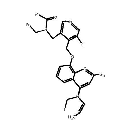 C/C=C\N(CI)c1cc(C)nc2c(OCc3c(Cl)cncc3CN(CC(C)C)C(=O)C(C)C)cccc12